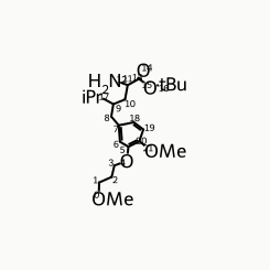 COCCCOc1cc(CC(CC(N)C(=O)OC(C)(C)C)C(C)C)ccc1OC